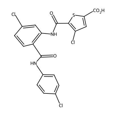 O=C(O)c1cc(Cl)c(C(=O)Nc2cc(Cl)ccc2C(=O)Nc2ccc(Cl)cc2)s1